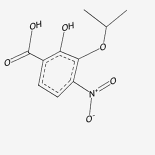 CC(C)Oc1c([N+](=O)[O-])ccc(C(=O)O)c1O